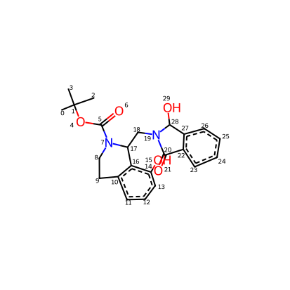 CC(C)(C)OC(=O)N1CCc2cccc(O)c2C1CN1C(=O)c2ccccc2C1O